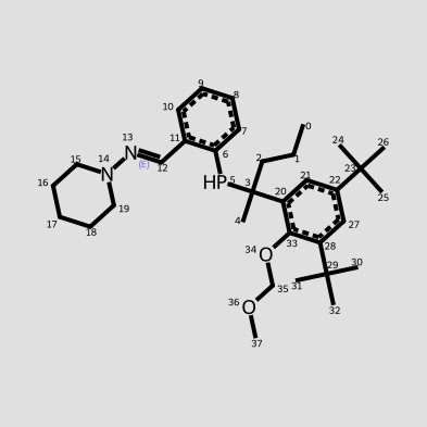 CCCC(C)(Pc1ccccc1/C=N/N1CCCCC1)c1cc(C(C)(C)C)cc(C(C)(C)C)c1OCOC